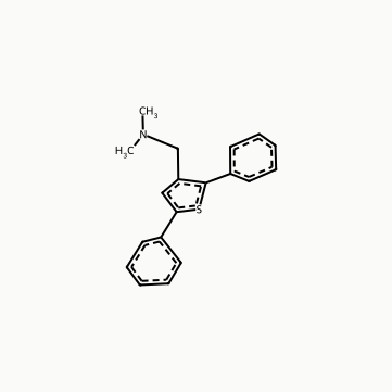 CN(C)Cc1cc(-c2ccccc2)sc1-c1ccccc1